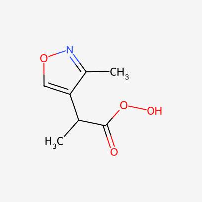 Cc1nocc1C(C)C(=O)OO